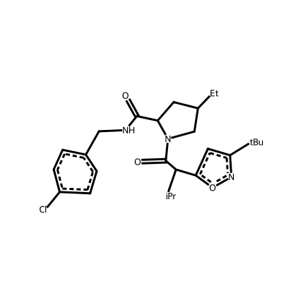 CCC1CC(C(=O)NCc2ccc(Cl)cc2)N(C(=O)C(c2cc(C(C)(C)C)no2)C(C)C)C1